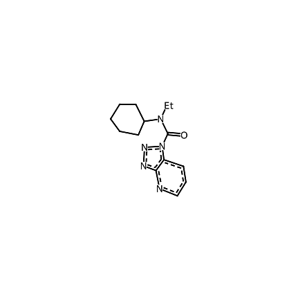 CCN(C(=O)n1nnc2ncccc21)C1CCCCC1